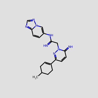 CC1CC=C(c2ccc(=N)n(CC(=N)Nc3ccc4ncnn4c3)n2)CC1